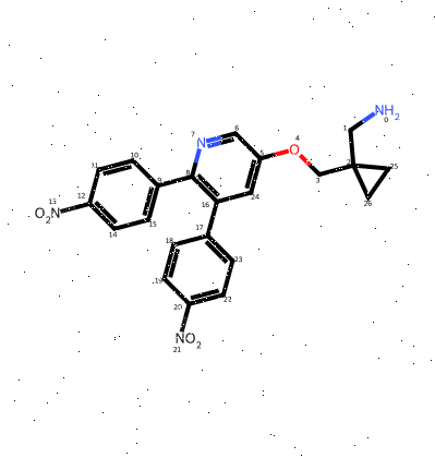 NCC1(COc2cnc(-c3ccc([N+](=O)[O-])cc3)c(-c3ccc([N+](=O)[O-])cc3)c2)CC1